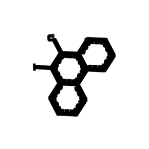 Clc1c(I)c2ccccc2c2ccc[c]c12